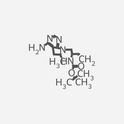 C=CC(CN1c2ncnc(N)c2CC1C)NC(=O)OC(C)(C)C